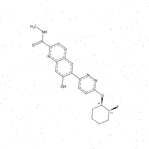 CNC(=O)c1ccc2cc(-c3ccc(O[C@@H]4CCCC[C@@H]4F)nn3)c(O)cc2n1